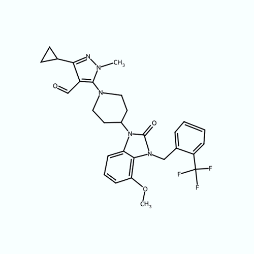 COc1cccc2c1n(Cc1ccccc1C(F)(F)F)c(=O)n2C1CCN(c2c(C=O)c(C3CC3)nn2C)CC1